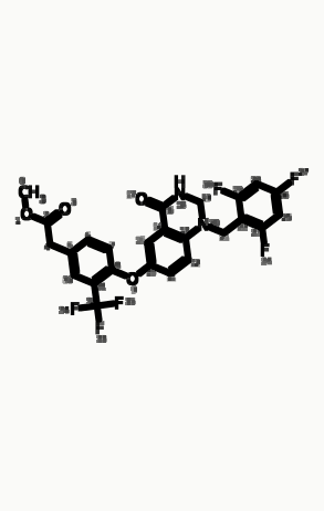 COC(=O)Cc1ccc(Oc2ccc3c(c2)C(=O)NCN3Cc2c(F)cc(F)cc2F)c(C(F)(F)F)c1